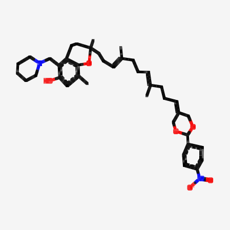 C/C(=C\CC/C(C)=C/CCC1(C)CCc2c(CN3CCCCC3)c(O)cc(C)c2O1)CCC=C1COC(c2ccc([N+](=O)[O-])cc2)OC1